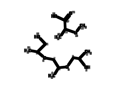 CC(O)COC(C)COC(C)CO.COC(C)C(=O)O